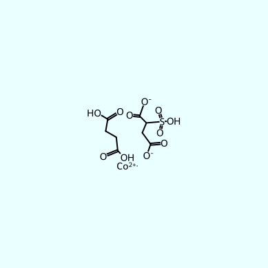 O=C(O)CCC(=O)O.O=C([O-])CC(C(=O)[O-])S(=O)(=O)O.[Co+2]